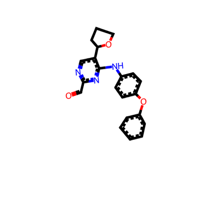 O=Cc1ncc(C2CCCO2)c(Nc2ccc(Oc3ccccc3)cc2)n1